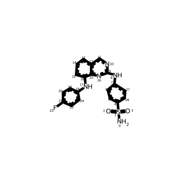 NS(=O)(=O)c1ccc(Nc2ncc3cccc(Nc4ccc(F)cc4)c3n2)cc1